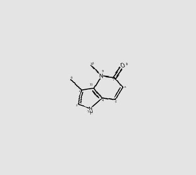 Cc1c[nH]c2ccc(=O)n(C)c12